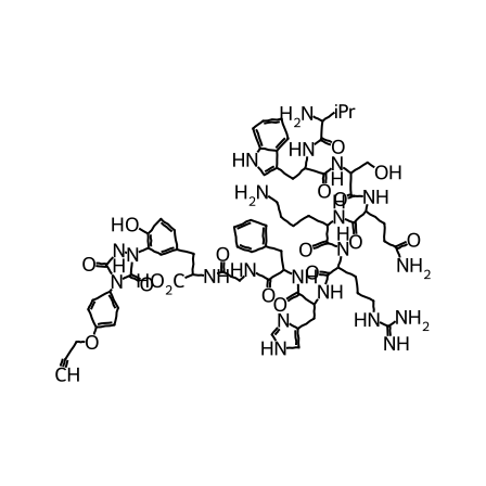 C#CCOc1ccc(-n2c(=O)[nH]n(-c3cc(CC(NC(=O)CNC(=O)C(Cc4ccccc4)NC(=O)C(Cc4c[nH]cn4)NC(=O)C(CCCNC(=N)N)NC(=O)C(CCCCN)NC(=O)C(CCC(N)=O)NC(=O)C(CO)NC(=O)C(Cc4c[nH]c5ccccc45)NC(=O)C(N)C(C)C)C(=O)O)ccc3O)c2=O)cc1